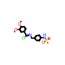 COc1ccc(/C(Cl)=N/Cc2ccc(NS(C)(=O)=O)cc2)cc1OC